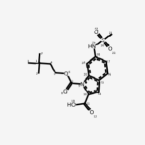 CC(C)(C)CCOC(=O)n1c(C(=O)O)cc2ccc(NS(C)(=O)=O)cc21